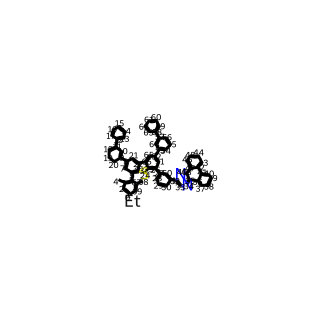 CCc1cc(C)c(-c2cc(C3=CC(c4ccccc4)=CCC3)cc3c2sc2c(-c4cccc(-c5cnc6c7ccccc7c7ccccc7c6n5)c4)cc(-c4cccc(-c5ccccc5)c4)cc23)c(C)c1